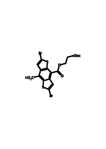 CCCCCCCCCCCCOC(=O)c1c2cc(Br)sc2c(C(=O)O)c2cc(Br)sc12